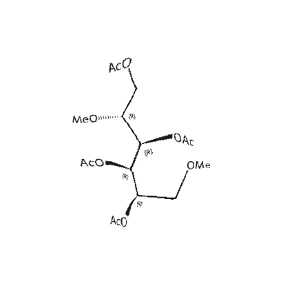 COC[C@@H](OC(C)=O)[C@@H](OC(C)=O)[C@H](OC(C)=O)[C@@H](COC(C)=O)OC